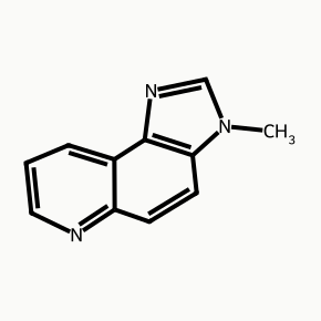 Cn1cnc2c3cccnc3ccc21